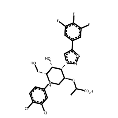 CC(O[C@H]1C[SH](c2ccc(Cl)c(Cl)c2)[C@H](CO)[C@H](O)[C@@H]1n1cc(-c2cc(F)c(F)c(F)c2)nn1)C(=O)O